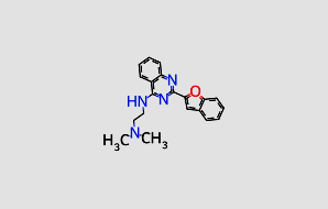 CN(C)CCNc1nc(-c2cc3ccccc3o2)nc2ccccc12